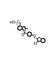 CCN1c2ccccc2C[C@H]1COc1ccc(C(=O)n2c(C)cc3c(CC(=O)O)cccc32)cc1